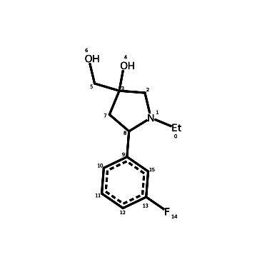 CCN1CC(O)(CO)CC1c1cccc(F)c1